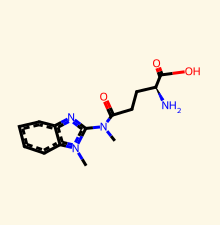 CN(C(=O)CC[C@H](N)C(=O)O)c1nc2ccccc2n1C